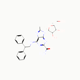 Cc1nc2c(NCC(c3ccccc3)c3ccccc3)nc(C(N)=O)nc2n1[C@@H]1O[C@H](CO)[C@@H](O)[C@H]1O